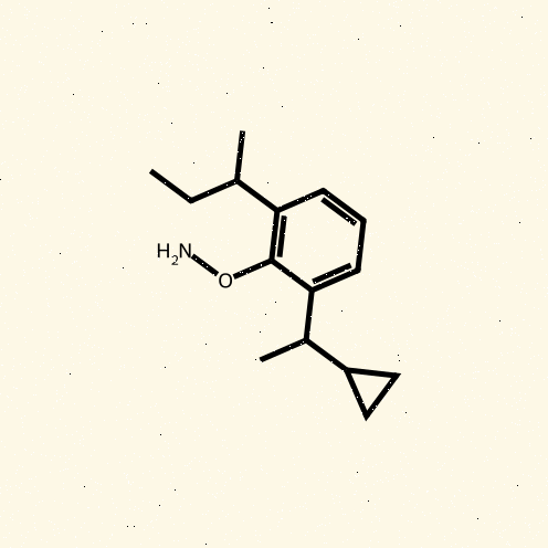 CCC(C)c1cccc(C(C)C2CC2)c1ON